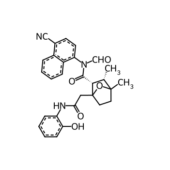 C[C@H]1[C@@H](C(=O)N(C=O)c2ccc(C#N)c3ccccc23)C2(CC(=O)Nc3ccccc3O)CCC1(C)O2